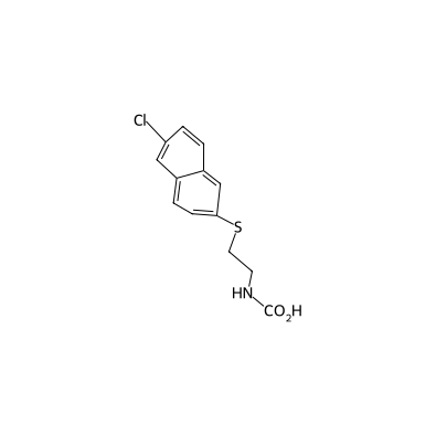 O=C(O)NCCSc1ccc2cc(Cl)ccc2c1